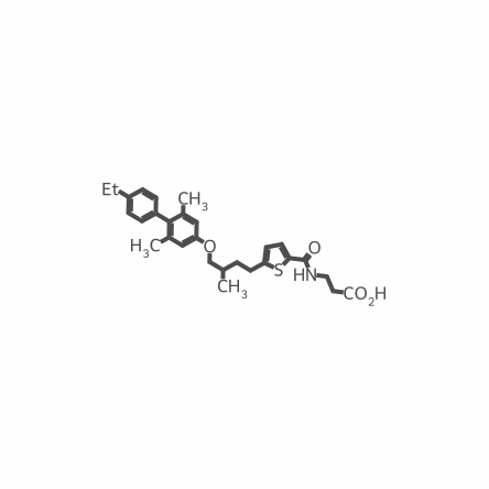 CCc1ccc(-c2c(C)cc(OCC(C)CCc3ccc(C(=O)NCCC(=O)O)s3)cc2C)cc1